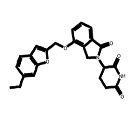 CCc1ccc2cc(COc3cccc4c3CN(C3CCC(=O)NC3=O)C4=O)oc2c1